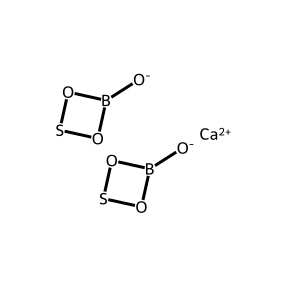 [Ca+2].[O-]B1OSO1.[O-]B1OSO1